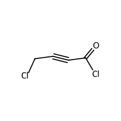 O=C(Cl)C#CCCl